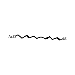 CCC=CCC=CCCCC=CCCOC(C)=O